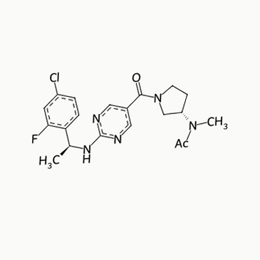 CC(=O)N(C)[C@H]1CCN(C(=O)c2cnc(N[C@@H](C)c3ccc(Cl)cc3F)nc2)C1